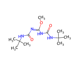 COC(=NC(=O)NC(C)(C)C)NC(=O)NC(C)(C)C